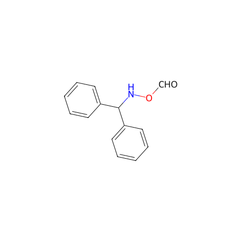 O=CONC(c1ccccc1)c1ccccc1